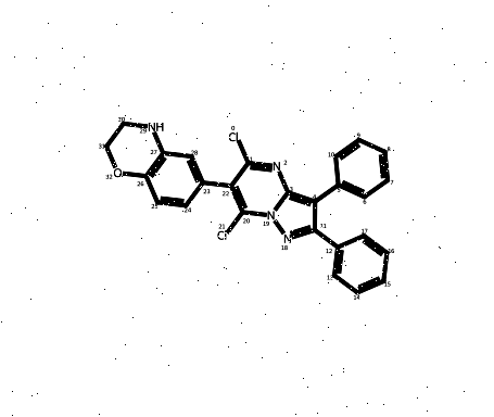 Clc1nc2c(-c3ccccc3)c(-c3ccccc3)nn2c(Cl)c1-c1ccc2c(c1)NCCO2